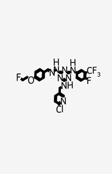 FCCOc1ccc(/C=N/Nc2nc(NCc3ccc(Cl)nc3)nc(Nc3ccc(F)c(C(F)(F)F)c3)n2)cc1